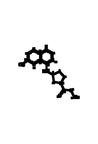 CC(C)(C)OC(=O)N1CCC(Nc2ncnc3ccc(Cl)nc23)C1